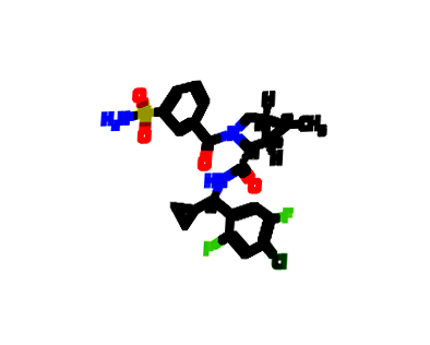 C[C@@H]1[C@@H]2CN(C(=O)c3cccc(S(N)(=O)=O)c3)[C@@H](C(=O)N[C@@H](c3cc(F)c(Cl)cc3F)C3CC3)[C@H]12